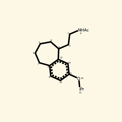 CC(=O)NCCC1CCCCc2ccc(OC(C)C)cc21